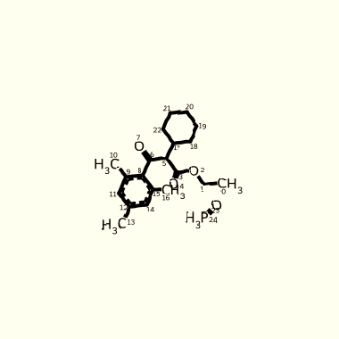 CCOC(=O)C(C(=O)c1c(C)cc(C)cc1C)C1CCCCC1.O=[PH3]